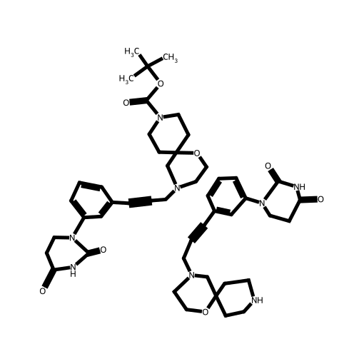 CC(C)(C)OC(=O)N1CCC2(CC1)CN(CC#Cc1cccc(N3CCC(=O)NC3=O)c1)CCO2.O=C1CCN(c2cccc(C#CCN3CCOC4(CCNCC4)C3)c2)C(=O)N1